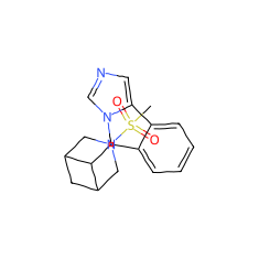 CS(=O)(=O)N1CC2CC(C1)C2C1c2ccccc2-c2cncn21